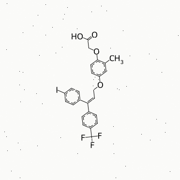 Cc1cc(OCC=C(c2ccc(I)cc2)c2ccc(C(F)(F)F)cc2)ccc1OCC(=O)O